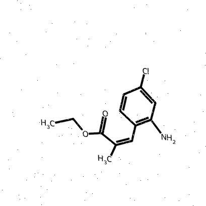 CCOC(=O)C(C)=Cc1ccc(Cl)cc1N